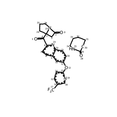 O=C1CC2(C(=O)c3ccc4cc(Oc5ccc(C(F)(F)F)cn5)ccc4n3)CCCN12.O=C1CCCCCN1